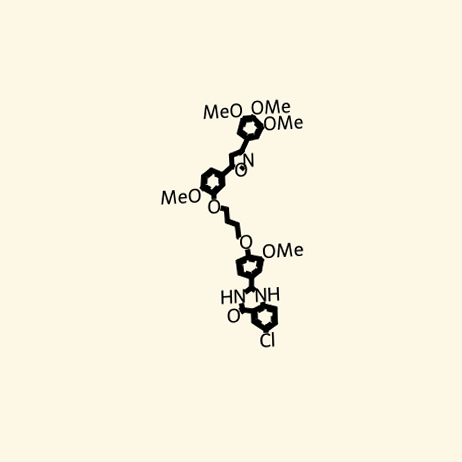 COc1cc(C2NC(=O)c3cc(Cl)ccc3N2)ccc1OCCCCOc1cc(C2CC(c3cc(OC)c(OC)c(OC)c3)=NO2)ccc1OC